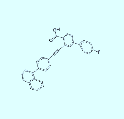 O=C(O)c1ccc(-c2ccc(F)cc2)cc1C#Cc1ccc(-c2cccc3ccccc23)cc1